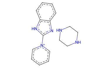 C1CNCCN1.c1cc[n+](-c2nc3ccccc3[nH]2)cc1